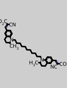 CCOC(=O)/C(C#N)=C/c1ccc2c(c1)CCC(C)N2CCCCCCCCCCCN1c2ccc(/C=C(\C#N)C(=O)OCC)cc2CCC1C